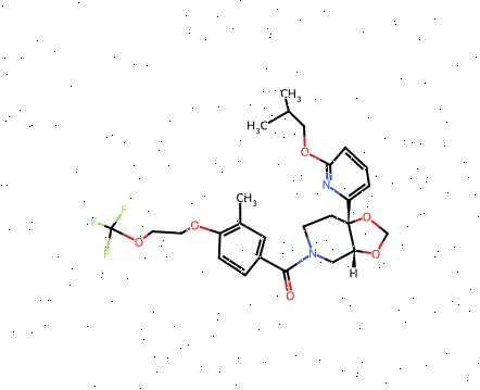 Cc1cc(C(=O)N2CC[C@]3(c4cccc(OCC(C)C)n4)OCO[C@@H]3C2)ccc1OCCOC(F)(F)F